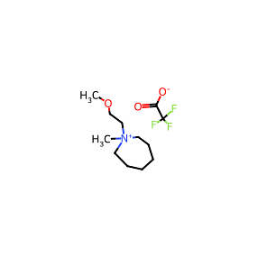 COCC[N+]1(C)CCCCCC1.O=C([O-])C(F)(F)F